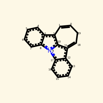 C1=Cc2c3ccccc3n3c2c(c2ccccc23)=CC1